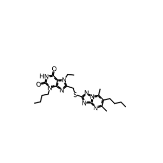 CCCCc1c(C)nc2nc(SCc3nc4c(c(=O)[nH]c(=O)n4CCCC)n3CC)nn2c1C